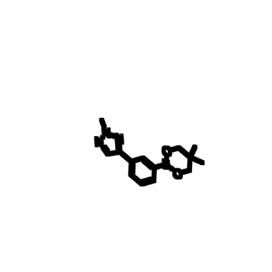 Cn1ncc(-c2cccc(B3OCC(C)(C)CO3)c2)n1